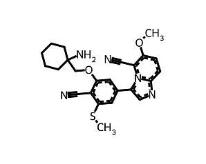 COc1ccc2ncc(-c3cc(OCC4(N)CCCCC4)c(C#N)c(SC)c3)n2c1C#N